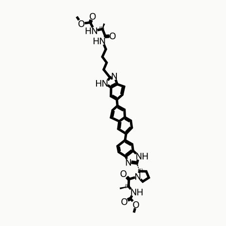 COC(=O)N[C@@H](C)C(=O)NCCCCc1nc2ccc(-c3ccc4cc(-c5ccc6nc([C@@H]7CCCN7C(=O)[C@H](C)NC(=O)OC)[nH]c6c5)ccc4c3)cc2[nH]1